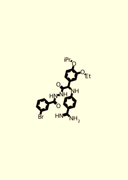 CCOc1cc(C(Nc2ccc(C(=N)N)cc2)C(=O)NNC(=O)c2cccc(Br)c2)ccc1OC(C)C